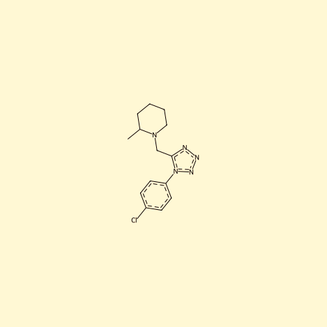 CC1CCCCN1Cc1nnnn1-c1ccc(Cl)cc1